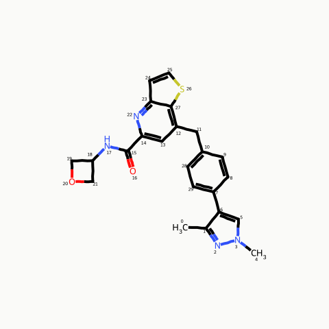 Cc1nn(C)cc1-c1ccc(Cc2cc(C(=O)NC3COC3)nc3ccsc23)cc1